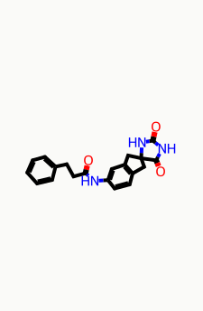 O=C(CCc1ccccc1)Nc1ccc2c(c1)CC1(C2)NC(=O)NC1=O